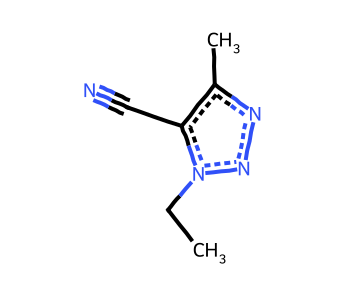 CCn1nnc(C)c1C#N